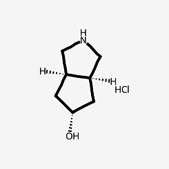 Cl.O[C@@H]1C[C@H]2CNC[C@H]2C1